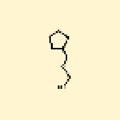 CCC(C)COCC1CCCC1